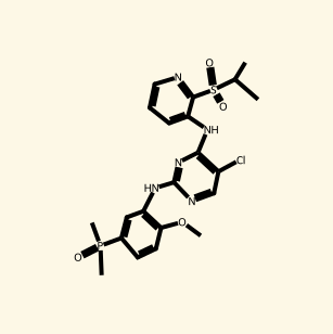 COc1ccc(P(C)(C)=O)cc1Nc1ncc(Cl)c(Nc2cccnc2S(=O)(=O)C(C)C)n1